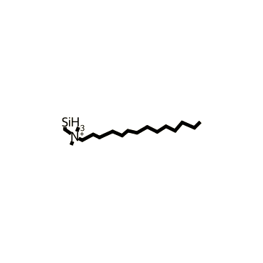 CCCCCCCCCCCCCC[N+](C)(C)C[SiH3]